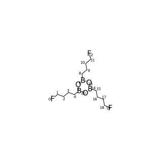 FCCCCB1OB(CCCCF)OB(CCCCF)O1